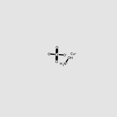 [Cu+].[NH3+]O.[O]=[Cr](=[O])([O-])[O-]